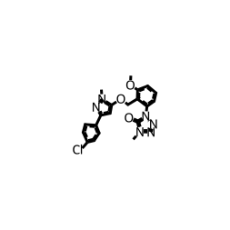 COc1cccc(-n2nnn(C)c2=O)c1COc1cc(-c2ccc(Cl)cc2)nn1C